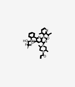 C=CC(=O)N1CC(C)N(c2nc(=O)n(-c3c(C)ccnc3C(C)C)c3nc(-c4ccccc4NC(O)C(F)(F)F)c(Cl)cc23)CC1C